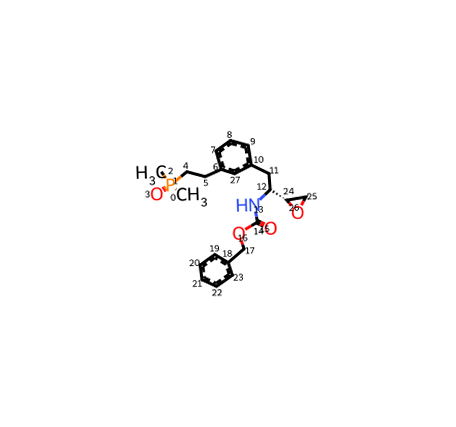 CP(C)(=O)CCc1cccc(CC(NC(=O)OCc2ccccc2)[C@@H]2CO2)c1